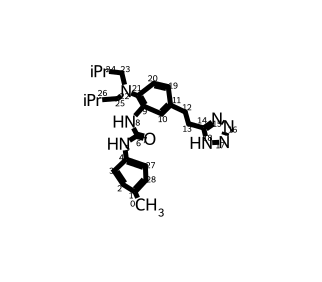 Cc1ccc(NC(=O)Nc2cc(CCc3nnn[nH]3)ccc2N(CC(C)C)CC(C)C)cc1